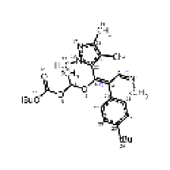 C/N=C\C(=C(\OC(C)OC(=O)OCC(C)C)c1c(Cl)c(C)nn1C)c1ccc(C(C)(C)C)cc1